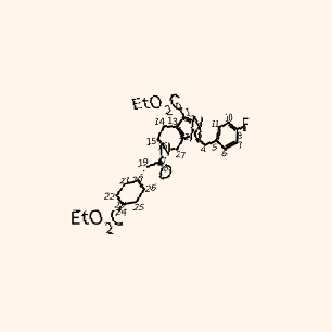 CCOC(=O)c1nn(Cc2ccc(F)cc2)c2c1CCN(C(=O)C[C@H]1CC[C@H](C(=O)OCC)CC1)C2